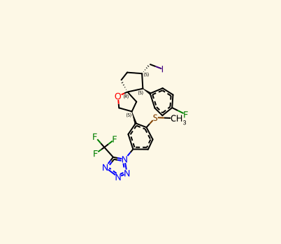 CSc1ccc(-n2nnnc2C(F)(F)F)cc1[C@H]1CO[C@]2(CC[C@H](CI)[C@H]2c2ccc(F)cc2)C1